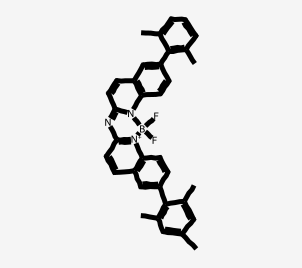 Cc1cc(C)c(-c2ccc3c(ccc4[n+]3[B-](F)(F)N3C(=N4)C=Cc4cc(-c5c(C)cccc5C)ccc43)c2)c(C)c1